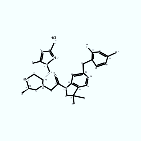 Cc1nc(C)n(C[C@H]2CN[C@H](C)CN2CC(=O)N2CC(C)(C)c3cnc(Cc4ccc(F)cc4F)cc32)n1.Cl